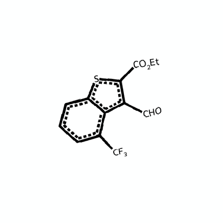 CCOC(=O)c1sc2cccc(C(F)(F)F)c2c1C=O